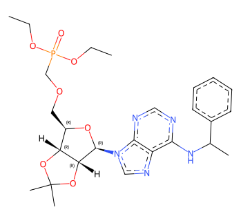 CCOP(=O)(COC[C@H]1O[C@@H](n2cnc3c(NC(C)c4ccccc4)ncnc32)[C@@H]2OC(C)(C)O[C@@H]21)OCC